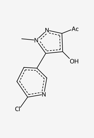 CC(=O)c1nn(C)c(-c2ccc(Cl)nc2)c1O